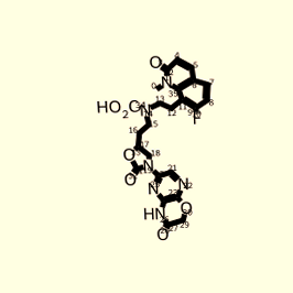 Cn1c(=O)ccc2ccc(F)c(CCN(CCC3CN(c4cnc5c(n4)NC(=O)CO5)C(=O)O3)C(=O)O)c21